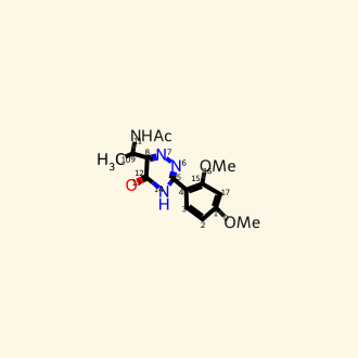 COc1ccc(-c2nnc(C(C)NC(C)=O)c(=O)[nH]2)c(OC)c1